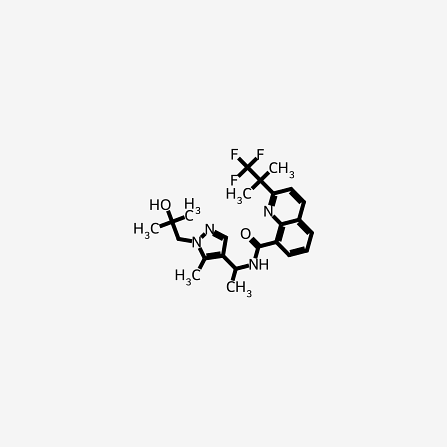 Cc1c(C(C)NC(=O)c2cccc3ccc(C(C)(C)C(F)(F)F)nc23)cnn1CC(C)(C)O